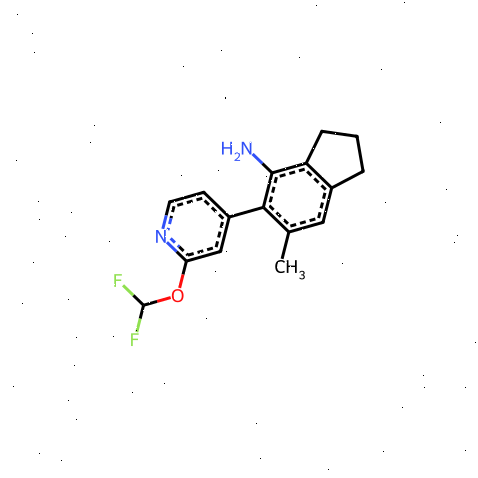 Cc1cc2c(c(N)c1-c1ccnc(OC(F)F)c1)CCC2